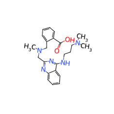 CN(C)CCCNc1nc(CN(C)Cc2ccccc2C(=O)O)nc2ccccc12